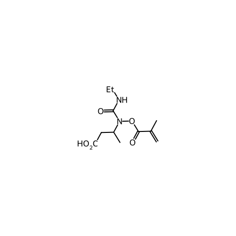 C=C(C)C(=O)ON(C(=O)NCC)C(C)CC(=O)O